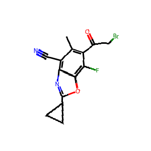 Cc1c(C(=O)CBr)c(F)c2oc(C3CC3)nc2c1C#N